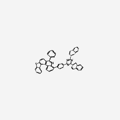 c1ccc(-c2nc3c(-c4ccc(-c5nc(-c6ccc7ccccc7c6)nc(-c6ccc7ccccc7c6)n5)cc4)cccc3c3c2ccc2sc4ccccc4c23)cc1